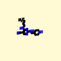 CCCCNc1nc(NCC2CCNCC2)ncc1C#N